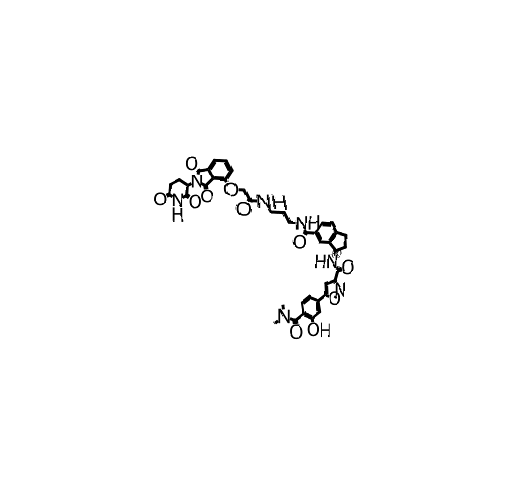 CN(C)C(=O)c1ccc(-c2cc(C(=O)N[C@@H]3CCc4ccc(C(=O)NCCCNC(=O)COc5cccc6c5C(=O)N(C5CCC(=O)NC5=O)C6=O)cc43)no2)cc1O